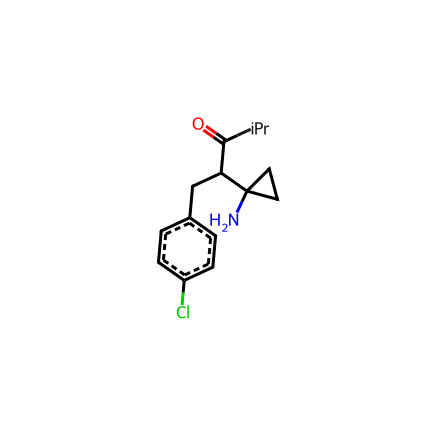 CC(C)C(=O)C(Cc1ccc(Cl)cc1)C1(N)CC1